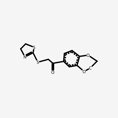 O=C(CSC1=NCCS1)c1ccc2c(c1)OCCO2